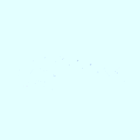 Cc1c(C)c2c(c(C)c1O)CCC(C)(CCCCCC/C=C/[N+](=O)[O-])O2